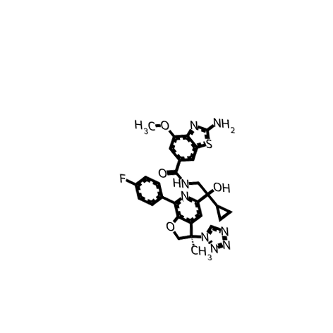 COc1cc(C(=O)NCC(O)(c2cc3c(c(-c4ccc(F)cc4)n2)OC[C@]3(C)n2cnnn2)C2CC2)cc2sc(N)nc12